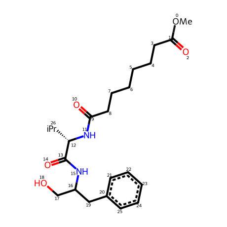 COC(=O)CCCCCCC(=O)N[C@H](C(=O)NC(CO)Cc1ccccc1)C(C)C